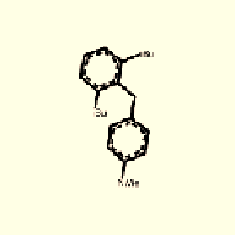 CCC(C)c1cccc(C(C)CC)c1Cc1ccc(NC)cc1